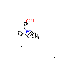 Cc1ccc(C[C@H](NCc2ccc(O)cc2)c2ccccc2)cc1